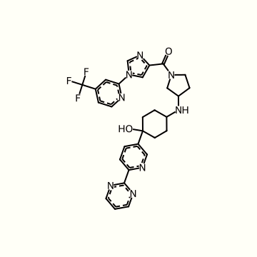 O=C(c1cn(-c2cc(C(F)(F)F)ccn2)cn1)N1CCC(NC2CCC(O)(c3ccc(-c4ncccn4)nc3)CC2)C1